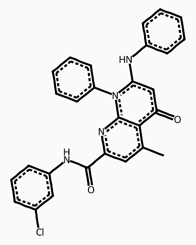 Cc1cc(C(=O)Nc2cccc(Cl)c2)nc2c1c(=O)cc(Nc1ccccc1)n2-c1ccccc1